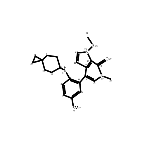 CSc1ccc(NC2CCC3(CC2)CC3)c(-c2cn(C)c(=O)c3c2ccn3SI)c1